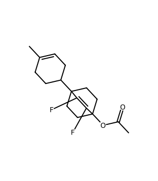 CC(=O)OC12CCC(C3CC=C(C)CC3)(CC1)C(F)=C2F